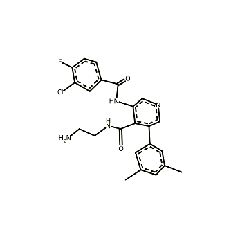 Cc1cc(C)cc(-c2cncc(NC(=O)c3ccc(F)c(Cl)c3)c2C(=O)NCCN)c1